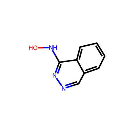 ONc1nncc2ccccc12